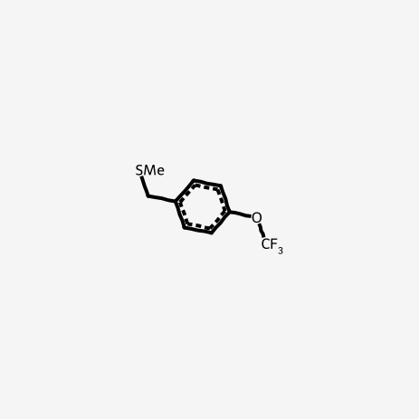 [CH2]SCc1ccc(OC(F)(F)F)cc1